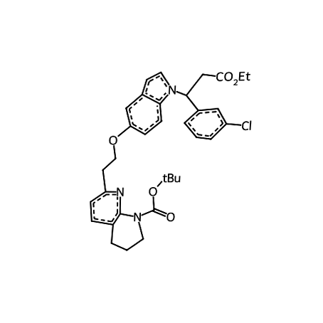 CCOC(=O)CC(c1cccc(Cl)c1)n1ccc2cc(OCCc3ccc4c(n3)N(C(=O)OC(C)(C)C)CCC4)ccc21